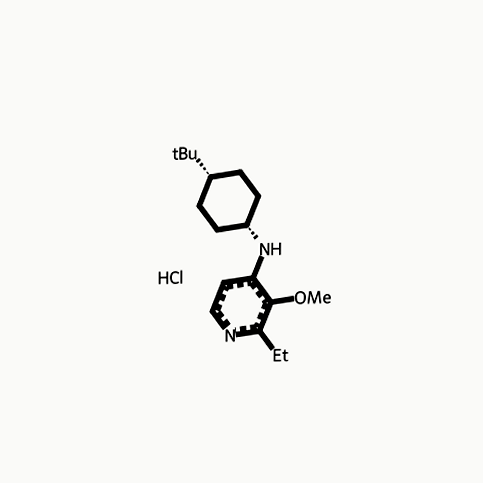 CCc1nccc(N[C@H]2CC[C@@H](C(C)(C)C)CC2)c1OC.Cl